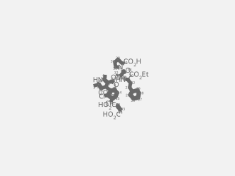 CCOC(=O)C1=C(C)NC(C)=C(C(=O)OC)C1c1cccc(Cl)c1Cl.CCOC(=O)[C@H](CCc1ccccc1)N[C@@H](C)C(=O)N1CCC[C@H]1C(=O)O.O=C(O)/C=C\C(=O)O